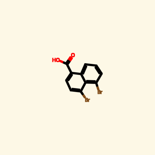 O=C(O)c1ccc(Br)c2c(Br)cccc12